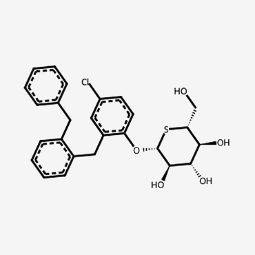 OC[C@H]1S[C@@H](Oc2ccc(Cl)cc2Cc2ccccc2Cc2ccccc2)[C@H](O)[C@@H](O)[C@@H]1O